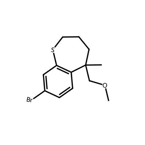 COCC1(C)CCCSc2cc(Br)ccc21